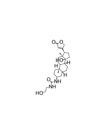 C[C@]12CC[C@H](NC(=O)NCCO)C[C@H]1CC[C@@H]1[C@@H]2CC[C@]2(C)[C@@H](C3=CC(=O)OC3)CC[C@]12O